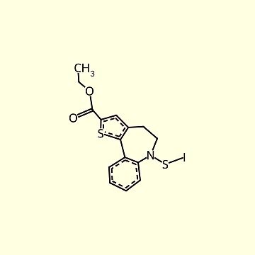 CCOC(=O)c1cc2c(s1)-c1ccccc1N(SI)CC2